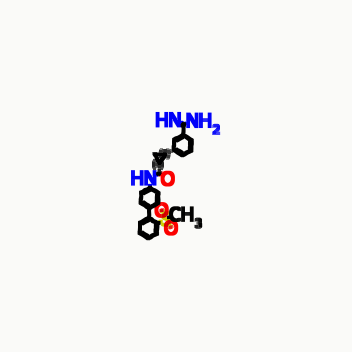 CS(=O)(=O)c1ccccc1-c1ccc(NC(=O)[C@@H]2C[C@@H]2c2cccc(C(=N)N)c2)cc1